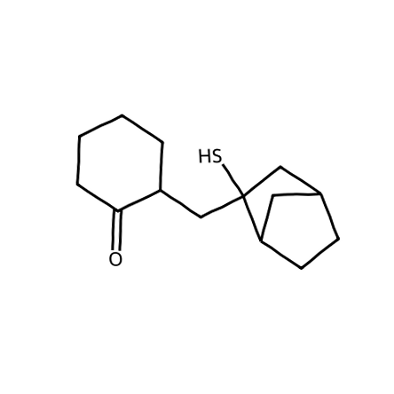 O=C1CCCCC1CC1(S)CC2CCC1C2